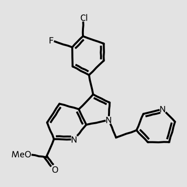 COC(=O)c1ccc2c(-c3ccc(Cl)c(F)c3)cn(Cc3cccnc3)c2n1